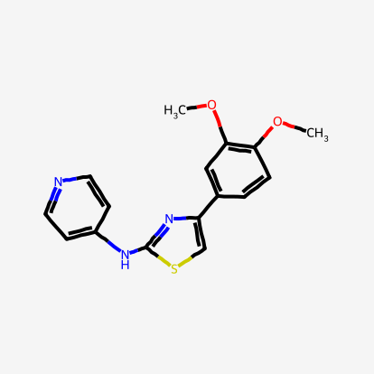 COc1ccc(-c2csc(Nc3ccncc3)n2)cc1OC